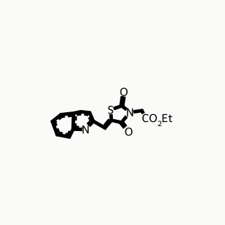 CCOC(=O)CN1C(=O)S/C(=C\c2ccc3ccccc3n2)C1=O